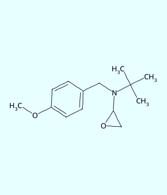 COc1ccc(CN(C2CO2)C(C)(C)C)cc1